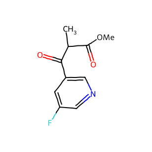 COC(=O)C(C)C(=O)c1cncc(F)c1